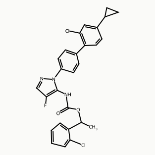 CC(OC(=O)Nc1c(F)cnn1-c1ccc(-c2ccc(C3CC3)cc2Cl)cc1)c1ccccc1Cl